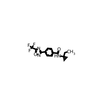 CCC1(NC(=O)c2ccc(-c3noc(C(F)(F)F)n3)cc2)CC1